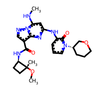 CNc1cc(Nc2cccn([C@H]3CCCOC3)c2=O)nc2c(C(=O)N[C@@H]3CC[C@@]3(C)OC)cnn12